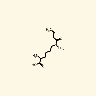 CCCC(=O)N(C)CCCCC(N)C(=O)O